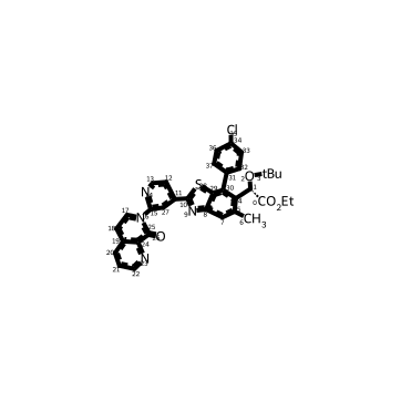 CCOC(=O)[C@@H](OC(C)(C)C)c1c(C)cc2nc(-c3ccnc(-n4ccc5cccnc5c4=O)c3)sc2c1-c1ccc(Cl)cc1